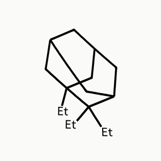 CCC12CC3CC(CC(C3)C1(CC)CC)C2